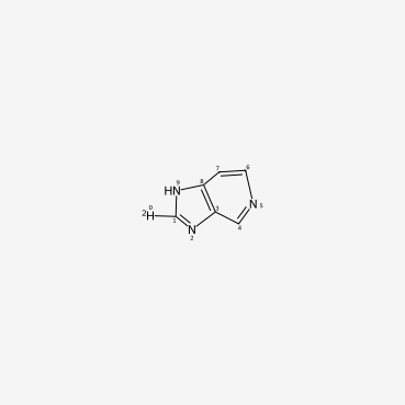 [2H]c1nc2cnccc2[nH]1